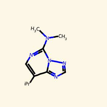 CC(C)c1cnc(N(C)C)n2ncnc12